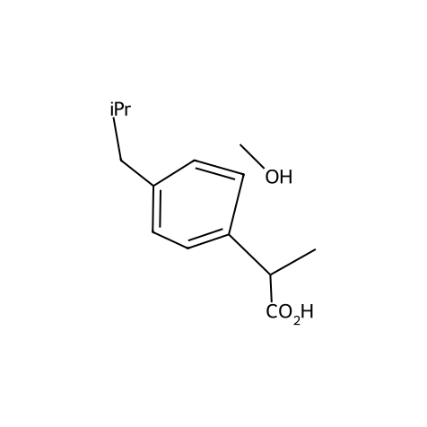 CC(C)Cc1ccc(C(C)C(=O)O)cc1.CO